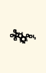 COc1cncc2c1CC1C(=O)C(Cl)(Cl)C21